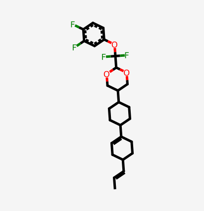 C/C=C/C1CC=C(C2CCC(C3COC(C(F)(F)Oc4ccc(F)c(F)c4)OC3)CC2)CC1